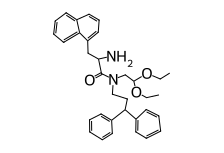 CCOC(CN(CCC(c1ccccc1)c1ccccc1)C(=O)C(N)Cc1cccc2ccccc12)OCC